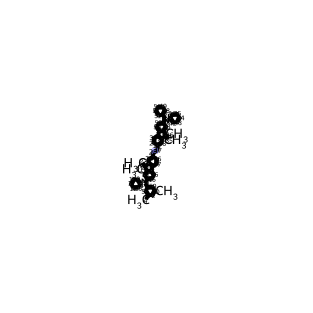 Cc1cc(C)cc(N(c2ccccc2)c2ccc3c(c2)C(C)(C)c2cc(/C=C/c4ccc5c(c4)C(C)(C)c4cc(N(c6ccccc6)c6ccccc6)ccc4-5)ccc2-3)c1